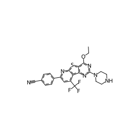 CCOc1nc(N2CCNCC2)nc2c1sc1nc(-c3ccc(C#N)cc3)cc(C(F)(F)F)c12